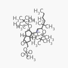 CCCCC(C)(C)C(/C=C/[C@H]1[C@H]2CC3(COS(C)(=O)=O)OC3[C@H]2C[C@H]1O[Si](C)(C)C(C)(C)C)O[Si](C)(C)C(C)(C)C